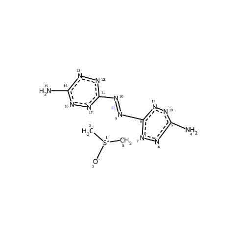 C[S+](C)[O-].Nc1nnc(/N=N/c2nnc(N)nn2)nn1